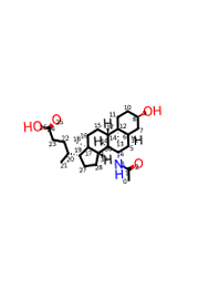 CC(=O)N[C@H]1C[C@@H]2C[C@H](O)CC[C@]2(C)[C@H]2CC[C@]3(C)[C@@H](C(C)CCC(=O)O)CC[C@H]3[C@H]12